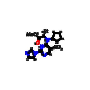 CC[C@H](C(=O)OC)N(c1nc(-n2ccnc2)ncc1[N+](=O)[O-])C1CCCC1